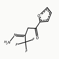 N/N=C(/CC(=O)c1ccco1)C(F)(F)F